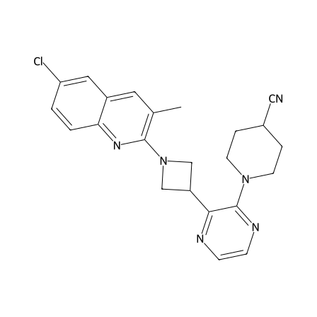 Cc1cc2cc(Cl)ccc2nc1N1CC(c2nccnc2N2CCC(C#N)CC2)C1